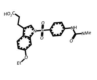 CCOc1ccc2c(CCC(=O)O)cn(S(=O)(=O)c3ccc(NC(=O)NC)cc3)c2c1